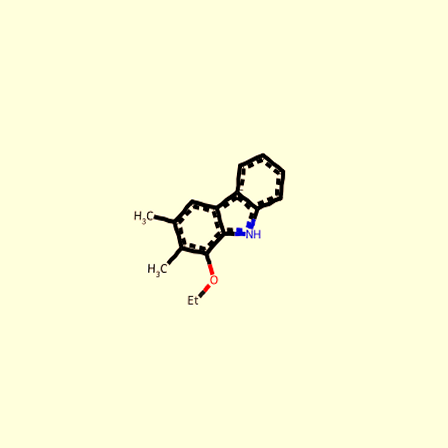 CCOc1c(C)c(C)cc2c1[nH]c1ccccc12